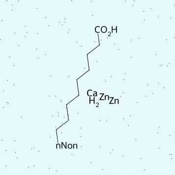 CCCCCCCCCCCCCCCCCC(=O)O.[CaH2].[Zn].[Zn]